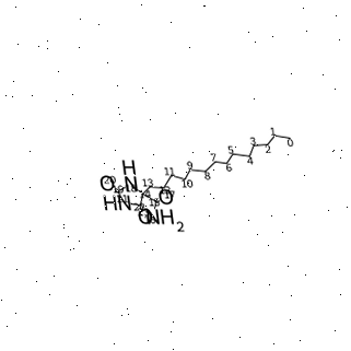 CCCCCCCCCCCCCCC1(C(N)=O)NC(=O)NC1=O